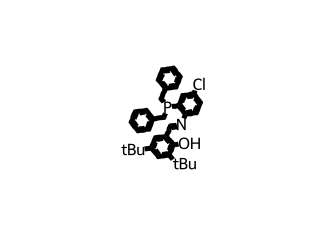 CC(C)(C)c1cc(/C=N/c2ccc(Cl)cc2P(Cc2ccccc2)Cc2ccccc2)c(O)c(C(C)(C)C)c1